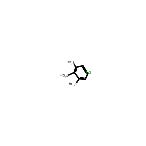 Cl.O=S(=O)(O)c1cccc(S(=O)(=O)O)c1S(=O)(=O)O